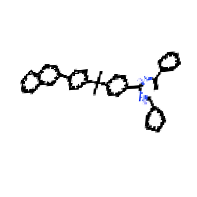 C=C(/N=C(\N=C\c1ccccc1)c1ccc(C(C)(C)c2ccc(-c3ccc4ccccc4c3)cc2)cc1)c1ccccc1